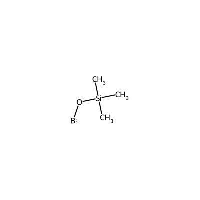 [B]O[Si](C)(C)C